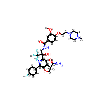 COc1cc(C(=O)NC[C@](O)(c2cc3c(c(-c4ccc(F)cc4)n2)OC[C@]3(C)C(N)=O)C(F)(F)F)ccc1OCCN1CCN(C)CC1